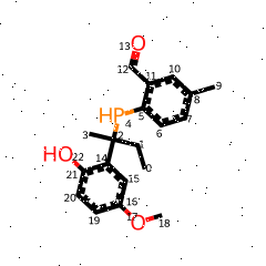 CCC(C)(Pc1ccc(C)cc1C=O)c1cc(OC)ccc1O